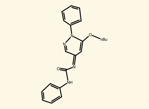 CCCCOc1cc(=NC(=O)Nc2ccccc2)cnn1-c1ccccc1